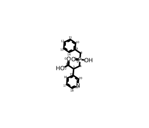 O=C(O)C(CP(=O)(O)Cc1ccccc1)c1cccnc1